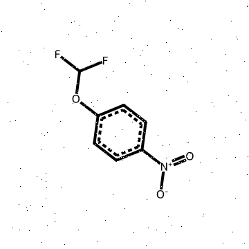 O=[N+]([O-])c1ccc(OC(F)F)cc1